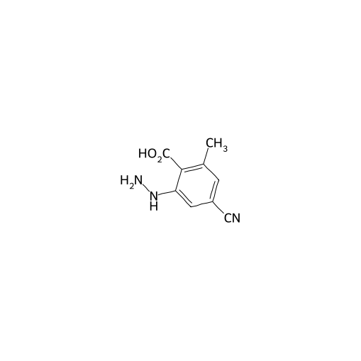 Cc1cc(C#N)cc(NN)c1C(=O)O